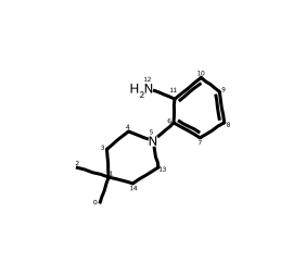 CC1(C)CCN(c2ccccc2N)CC1